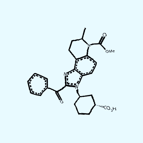 COC(=O)N1c2ccc3c(nc(C(=O)c4ccccc4)n3[C@@H]3CCC[C@@H](C(=O)O)C3)c2CCC1C